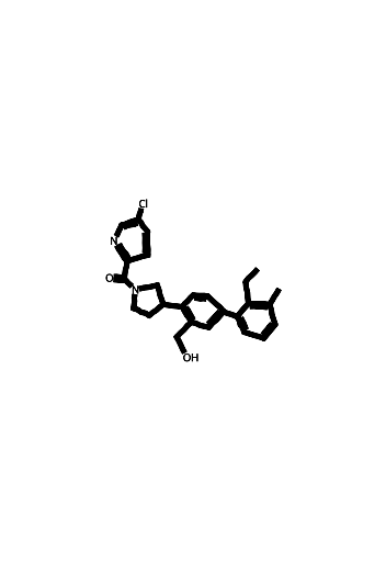 CCc1c(C)cccc1-c1ccc(C2CCN(C(=O)c3ccc(Cl)cn3)C2)c(CO)c1